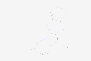 N#Cc1ccc2c(C#N)c3nc4ccccc4nc3n2c1